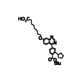 CC(C)(C)OC(=O)c1ccc(-c2ncnc3cc(OCCCCCCCC(=O)O)ccc23)cc1C1CCCC1